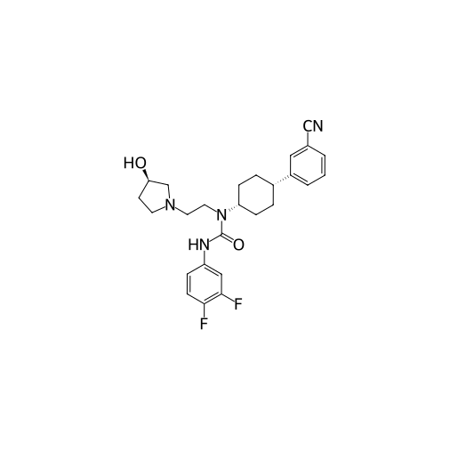 N#Cc1cccc([C@H]2CC[C@@H](N(CCN3CC[C@@H](O)C3)C(=O)Nc3ccc(F)c(F)c3)CC2)c1